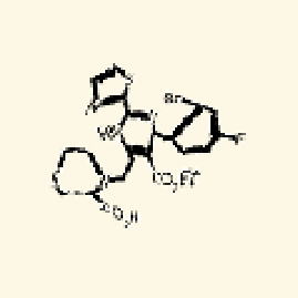 CCOC(=O)C1=C(CN2CCSCC2C(=O)O)NC(c2nccs2)=NC1c1ccc(F)cc1Br